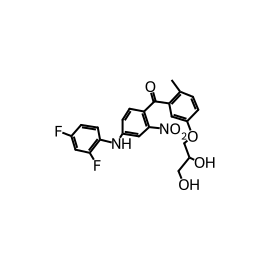 Cc1ccc(OCC(O)CO)cc1C(=O)c1ccc(Nc2ccc(F)cc2F)cc1[N+](=O)[O-]